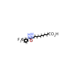 O=C(O)CCCCCCCCCCNC(=O)Nc1cccc(C(F)(F)F)c1